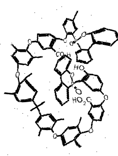 Cc1ccc(Oc2ccc(Oc3c(C)cc(Oc4c(C)cc(C(C)(C)c5cc(C)c(Oc6cc(C)c(Oc7ccc(Oc8ccc(O)c(P9(=O)Oc%10ccccc%10-c%10ccccc%109)c8)c(C(=O)O)c7)c(C)c6)c(C)c5)cc4C)cc3C)cc2C(=O)O)c(P2(=O)Oc3ccccc3-c3ccccc32)c1